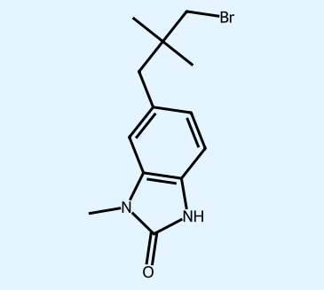 Cn1c(=O)[nH]c2ccc(CC(C)(C)CBr)cc21